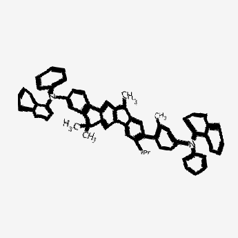 Cc1cc(N(c2ccccc2)c2cccc3ccccc23)ccc1-c1cc2c(cc1C(C)C)-c1cc3c(cc1C2C)-c1ccc(N(c2ccccc2)c2cccc4ccccc24)cc1C3(C)C